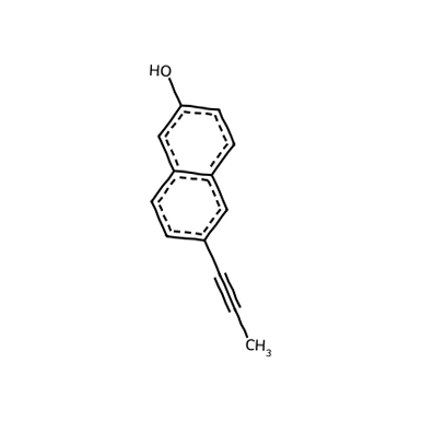 CC#Cc1ccc2cc(O)ccc2c1